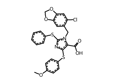 COc1ccc(Sc2nc(Sc3ccccc3)n(Cc3cc4c(cc3Cl)OCO4)c2C(=O)O)cc1